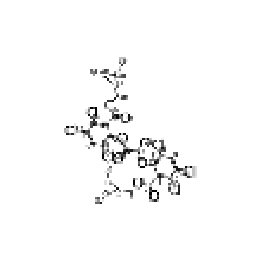 CC1C(C)C1COC(=O)c1c(Cl)c(Cl)cc(Cl)c1OC(=O)C(=O)Oc1c(Cl)cc(Cl)c(Cl)c1C(=O)OCC1C(C)C1C